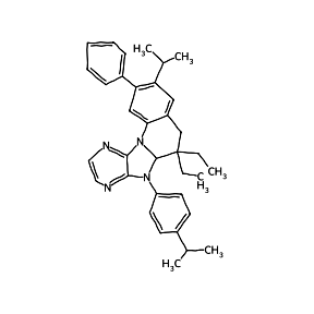 CCC1(CC)Cc2cc(C(C)C)c(-c3ccccc3)cc2N2c3nccnc3N(c3ccc(C(C)C)cc3)C21